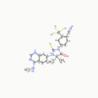 CNc1ncnc2cc(N3C(=S)N(c4ccc(C#N)c(C(F)(F)F)c4)C(=O)C3(C)C)ccc12